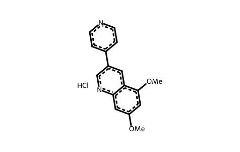 COc1cc(OC)c2cc(-c3ccncc3)cnc2c1.Cl